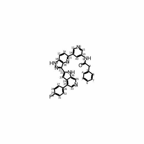 O=C(Cc1ccccc1)Nc1cncc(-c2ccc3[nH]nc(-c4cc5c(-c6ccc(F)cc6)cncc5[nH]4)c3n2)c1